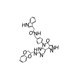 O=C(Cc1c[nH]c2ccccc12)NCc1ccc(-n2c(=O)c3c[nH]nc3c3cnc(NCC4COc5ccccc5O4)nc32)cc1